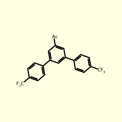 CC(=O)c1cc(-c2ccc(C(F)(F)F)cc2)cc(-c2ccc(C(F)(F)F)cc2)c1